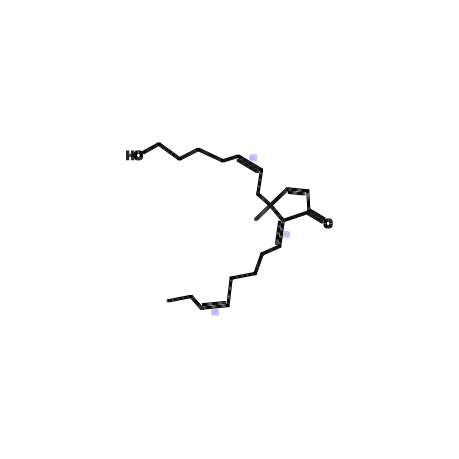 CC/C=C\CCC/C=C1/C(=O)C=CC1(C)C/C=C\CCCCO